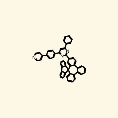 c1ccc(-c2cc(-c3ccc(-c4ccncc4)cc3)nc(-c3ccc4c(c3)C3(c5ccccc5-c5ccccc5-4)c4ccccc4-c4ccccc43)n2)cc1